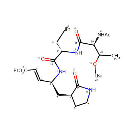 CCOC(=O)/C=C/[C@H](C[C@@H]1CCNC1=O)NC(=O)[C@H](CC(C)C)NC(=O)[C@@H](NC(C)=O)C(C)OC(C)(C)C